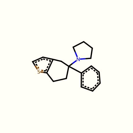 c1ccc(C2(N3CCCC3)CCc3sccc3C2)cc1